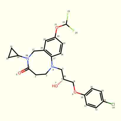 O=C1CCN(C[C@@H](O)COc2ccc(Cl)cc2)c2ccc(OC(F)F)cc2CN1C1CC1